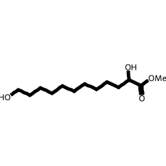 COC(=O)C(O)CCCCCCCCCCO